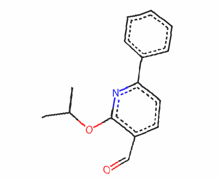 CC(C)Oc1nc(-c2ccccc2)ccc1C=O